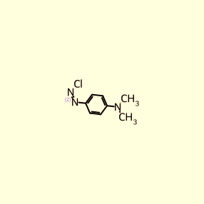 CN(C)c1ccc(/N=N\Cl)cc1